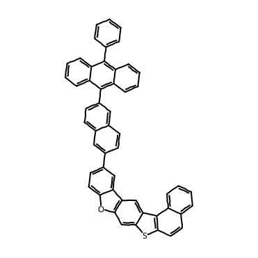 c1ccc(-c2c3ccccc3c(-c3ccc4cc(-c5ccc6oc7cc8sc9ccc%10ccccc%10c9c8cc7c6c5)ccc4c3)c3ccccc23)cc1